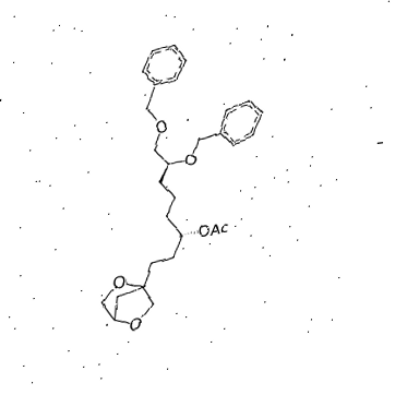 CC(=O)O[C@@H](CCC[C@@H](COCc1ccccc1)OCc1ccccc1)CCC12COC(CO1)C2